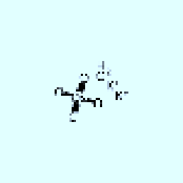 O.[K+].[K+].[O]=[Os](=[O])([O-])[O-]